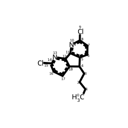 CCCCC1c2ccc(Cl)nc2-c2nc(Cl)ccc21